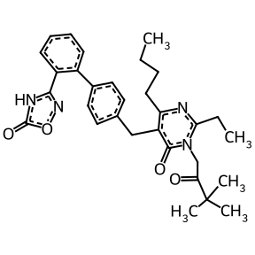 CCCCc1nc(CC)n(CC(=O)C(C)(C)C)c(=O)c1Cc1ccc(-c2ccccc2-c2noc(=O)[nH]2)cc1